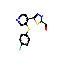 O=CC1NC=C(c2ccncc2Sc2ccc(F)cc2)S1